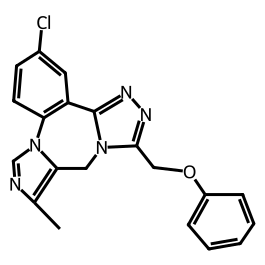 Cc1ncn2c1Cn1c(COc3ccccc3)nnc1-c1cc(Cl)ccc1-2